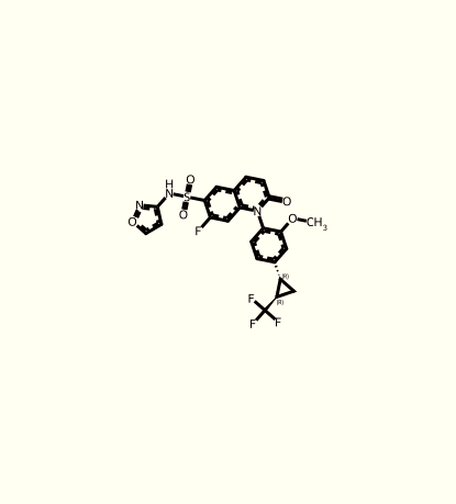 COc1cc([C@@H]2C[C@H]2C(F)(F)F)ccc1-n1c(=O)ccc2cc(S(=O)(=O)Nc3ccon3)c(F)cc21